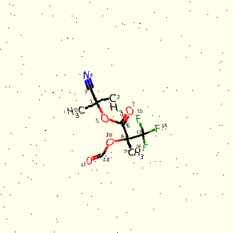 CC(C)(C#N)OC(=O)C(C)(O[C]=O)C(F)(F)F